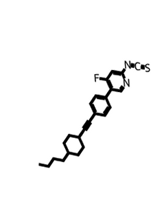 CCCCC1CCC(C#Cc2ccc(-c3cnc(N=C=S)cc3F)cc2)CC1